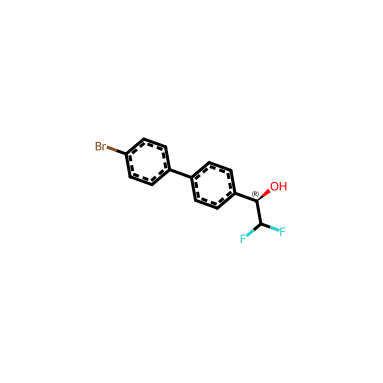 O[C@H](c1ccc(-c2ccc(Br)cc2)cc1)C(F)F